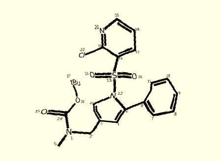 CN(Cc1cc(-c2ccccc2)n(S(=O)(=O)c2cccnc2Cl)c1)C(=O)OC(C)(C)C